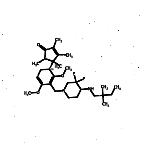 CCC(C)(C)CNC1CCN(CC2=C(OC)[C@H](C3(C)C(C)=C(C)C(=O)N3C)CC=C2OC)CC1(F)F